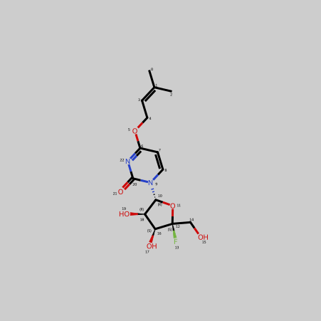 CC(C)=CCOc1ccn([C@@H]2O[C@](F)(CO)[C@@H](O)[C@H]2O)c(=O)n1